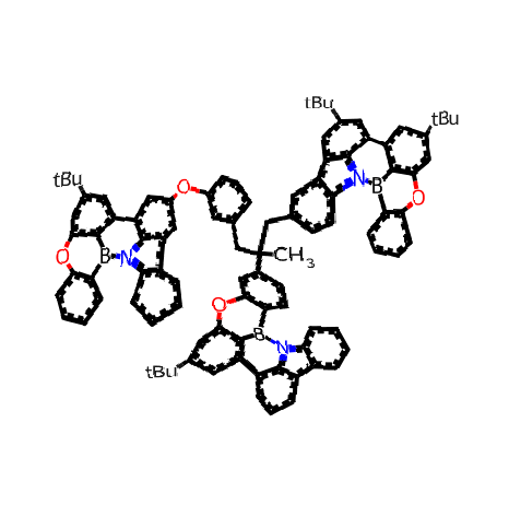 CC(C)(C)c1cc2c3c(c1)-c1cccc4c5ccccc5n(c14)B3c1ccc(C(C)(Cc3cccc(Oc4cc5c6c(c4)c4ccccc4n6B4c6ccccc6Oc6cc(C(C)(C)C)cc-5c64)c3)Cc3ccc4c(c3)c3cc(C(C)(C)C)cc5c3n4B3c4ccccc4Oc4cc(C(C)(C)C)cc-5c43)cc1O2